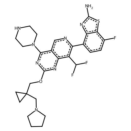 Nc1nc2c(-c3ncc4c(N5CCNCC5)nc(OCC5(CN6CCCC6)CC5)nc4c3C(F)F)ccc(F)c2s1